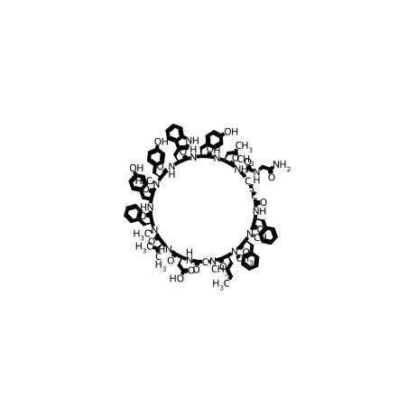 CCCC[C@H]1C(=O)N(C)CC(=O)N[C@@H](CC(=O)O)C(=O)N[C@@H](C(C)C)C(=O)N(C)[C@@H](Cc2ccccc2)C(=O)NC(Cc2ccc(O)cc2)C(=O)N(C)[C@@H](Cc2ccc(O)cc2)C(=O)N[C@@H](Cc2c[nH]c3ccccc23)C(=O)N[C@@H](Cc2ccc(O)cc2)C(=O)N[C@@H](CC(C)C)C(=O)N[C@H](C(=O)NCC(N)=O)CSCC(=O)N[C@@H](Cc2ccccc2)C(=O)N(C)[C@@H](Cc2ccccc2)C(=O)N1C